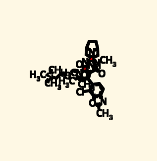 Cc1nc2ccc(-c3cn(COCC[Si](C)(C)C)c4nc(N5C6CCC5CC(NC(=O)OC(C)(C)C)C6)n(C)c(=O)c34)c(Cl)c2o1